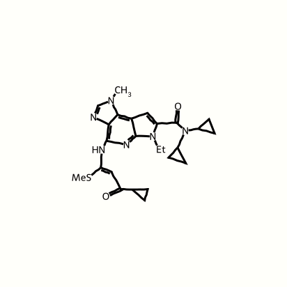 CCn1c(C(=O)N(C2CC2)C2CC2)cc2c3c(ncn3C)c(NC(=CC(=O)C3CC3)SC)nc21